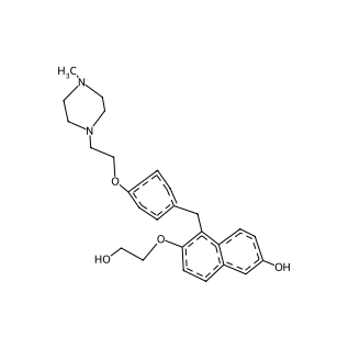 CN1CCN(CCOc2ccc(Cc3c(OCCO)ccc4cc(O)ccc34)cc2)CC1